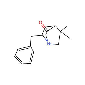 CC1(C)CN2CCC1C(=O)C2Cc1ccccc1